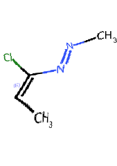 C/C=C(/Cl)N=NC